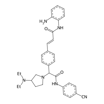 CCN(CC)C1CCN(C(C(=O)Nc2ccc(C#N)cc2)c2ccc(C=CC(=O)Nc3ccccc3N)cc2)C1